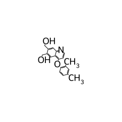 Cc1ccc(Oc2ccnc3cc(CO)c(CO)cc23)c(C)c1